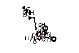 COc1cccc(-c2cc(O[C@@H]3C[C@@H](C(N)=O)N(C(=O)[C@H](CCCCC/C=C\[C@@H]4C[C@@H]4C(=O)NS(=O)(=O)C4CC4)NC(=O)C(F)(F)F)C3)c3oc4ccccc4c3n2)c1